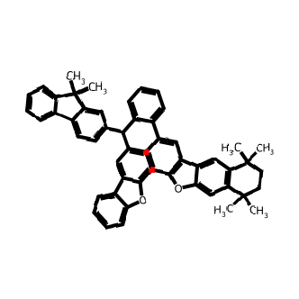 CC1(C)CCC(C)(C)c2cc3c(cc21)oc1ccc(-c2ccccc2C(c2ccc4c(c2)C(C)(C)c2ccccc2-4)c2ccc4oc5ccccc5c4c2)cc13